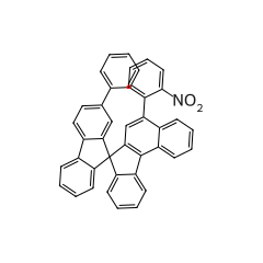 O=[N+]([O-])c1ccccc1-c1cc2c(c3ccccc13)-c1ccccc1C21c2ccccc2-c2ccc(-c3ccccc3)cc21